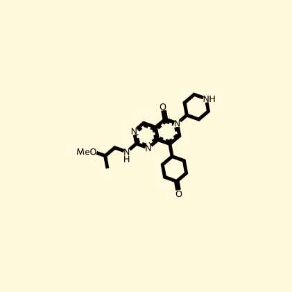 COC(C)CNc1ncc2c(=O)n(C3CCNCC3)cc(C3CCC(=O)CC3)c2n1